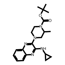 CC1CN(c2nc3ccccc3nc2NC2CC2)CCN1C(=O)OC(C)(C)C